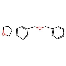 C1CCOC1.c1ccc(COCc2ccccc2)cc1